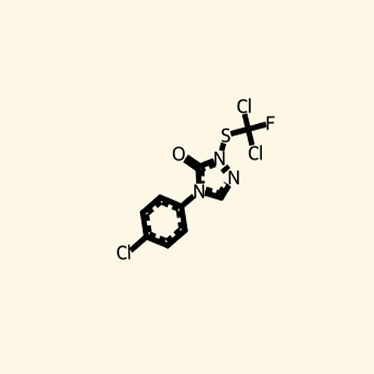 O=c1n(-c2ccc(Cl)cc2)cnn1SC(F)(Cl)Cl